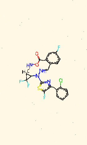 CNOC(=O)c1cc(F)ccc1/C=N/N(c1nc(-c2ccccc2Cl)c(F)s1)C1CC1(F)F